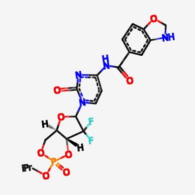 CC(C)OP1(=O)OC[C@H]2OC(n3ccc(NC(=O)c4ccc5c(c4)NCO5)nc3=O)C(F)(F)[C@@H]2O1